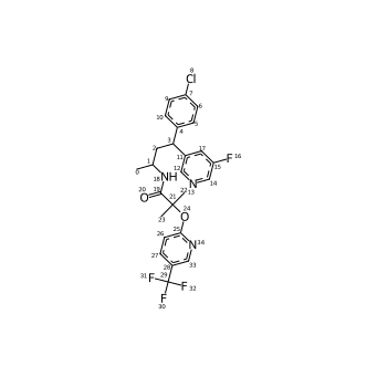 CC(CC(c1ccc(Cl)cc1)c1cncc(F)c1)NC(=O)C(C)(C)Oc1ccc(C(F)(F)F)cn1